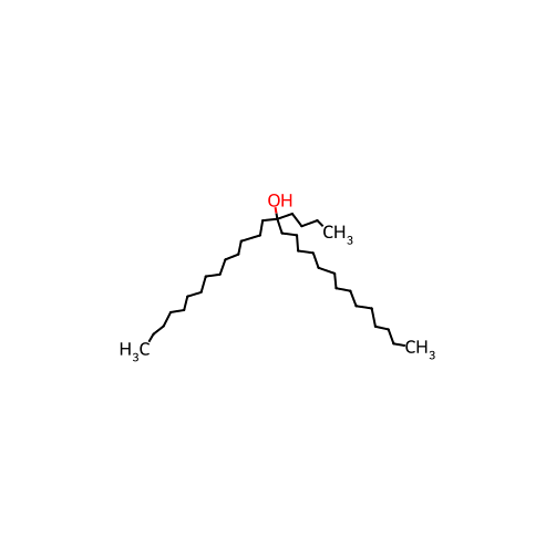 CCCCCCCCCCCCCCC(O)(CCCC)CCCCCCCCCCCCCC